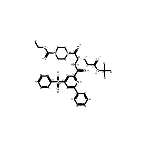 CCOC(=O)N1CCN(C(=O)[C@H](CCC(=O)OC(C)(C)C)NC(=O)c2cc(S(=O)(=O)c3ccccc3)cc(-c3ccccc3)n2)CC1